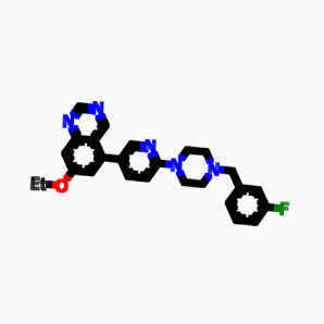 CCOc1cc(-c2ccc(N3CCN(Cc4cccc(F)c4)CC3)nc2)c2cncnc2c1